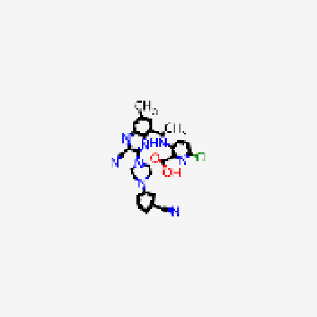 Cc1cc([C@@H](C)Nc2ccc(Cl)nc2C(=O)O)c2nc(N3CCN(c4cccc(C#N)c4)CC3)c(C#N)nc2c1